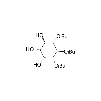 CC(C)CO[C@H]1[C@H](OCC(C)C)[C@H](O)[C@H](O)[C@@H](O)[C@@H]1OCC(C)C